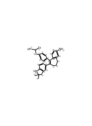 CCCC(CC)Oc1ccc(C2=C(c3ccc4c(c3)CC(C)(C)N4)CCCc3cc(N)ccc32)cc1